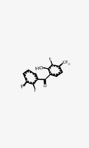 O=C(c1ccc(C(F)(F)F)c(F)c1O)c1cccc(F)c1F